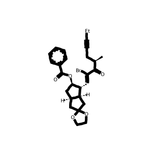 CCC#CC[C@@H](C)C(=O)/C(Br)=C/[C@@H]1[C@H]2CC3(C[C@H]2C[C@H]1OC(=O)c1ccccc1)OCCO3